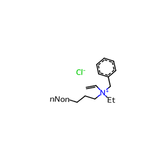 C=C[N+](CC)(CCCCCCCCCCCC)Cc1ccccc1.[Cl-]